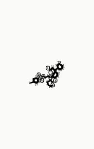 Cc1ccc(S(=O)(=O)OCCOc2c(OC3CCCCO3)ccc3c(-c4ccccc4)cc(=O)oc23)cc1